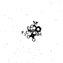 CCC(Nc1c(Nc2cccc(C(=O)N(C)C)c2O)c(=O)c1=O)C(F)(F)F